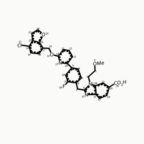 COCCn1c(Cc2ccc(-c3cccc(OCc4ccc(Cl)c5ccoc45)n3)cc2F)nc2ccc(C(=O)O)cc21